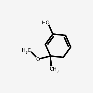 CO[C@]1(C)C=C(O)C=CC1